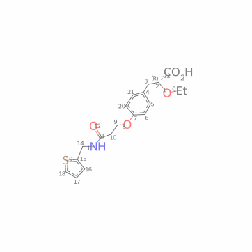 CCO[C@H](Cc1ccc(OCCC(=O)NCc2cccs2)cc1)C(=O)O